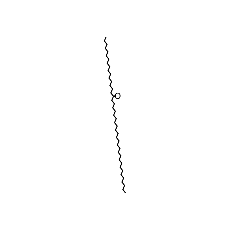 CCCCCCCCCCCCCCCCCCCCCCCCCCC(=O)CCCCCCCCCCCCCCCC